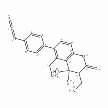 CCc1c(-c2ccc(N=C=S)cc2)ccc2c1C(C)(N)C(CC)C(=O)O2